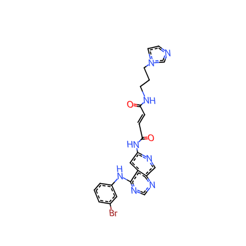 O=C(C=CC(=O)Nc1cc2c(Nc3cccc(Br)c3)ncnc2cn1)NCCCn1ccnc1